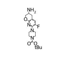 CC(C)(C)OC(=O)N1CCN(c2nc3c(cc2F)CC(N)CO3)CC1